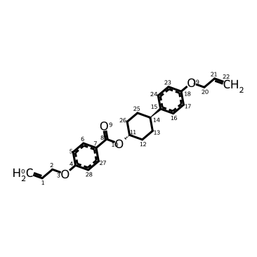 C=CCOc1ccc(C(=O)O[C@H]2CC[C@H](c3ccc(OCC=C)cc3)CC2)cc1